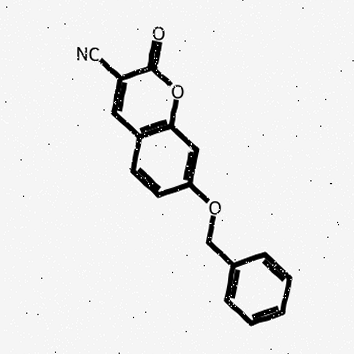 N#Cc1cc2ccc(OCc3ccccc3)cc2oc1=O